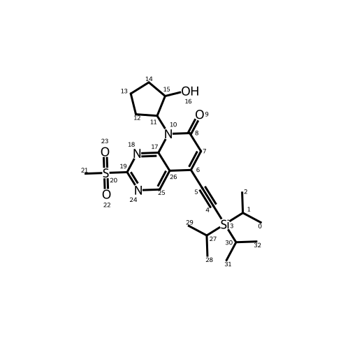 CC(C)[Si](C#Cc1cc(=O)n(C2CCCC2O)c2nc(S(C)(=O)=O)ncc12)(C(C)C)C(C)C